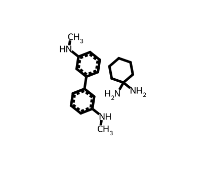 CNc1cccc(-c2cccc(NC)c2)c1.NC1(N)CCCCC1